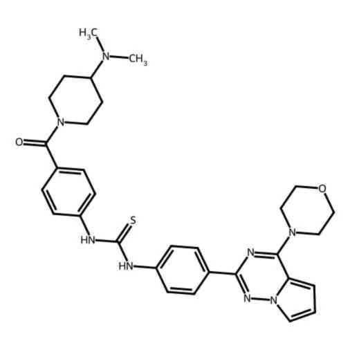 CN(C)C1CCN(C(=O)c2ccc(NC(=S)Nc3ccc(-c4nc(N5CCOCC5)c5cccn5n4)cc3)cc2)CC1